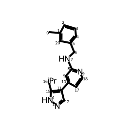 Cc1cccc(CNc2cc(-c3cn[nH]c3C(C)C)ccn2)c1